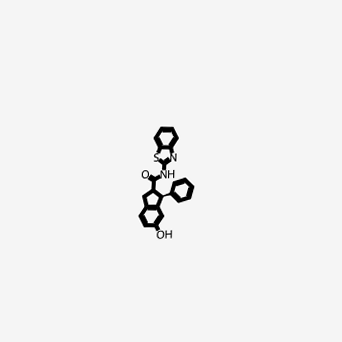 O=C(Nc1nc2ccccc2s1)C1Cc2ccc(O)cc2[C@@H]1c1ccccc1